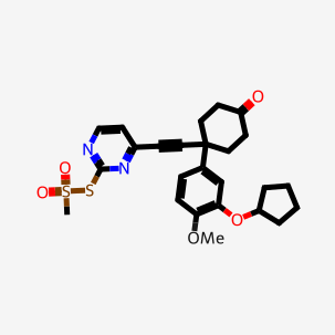 COc1ccc(C2(C#Cc3ccnc(SS(C)(=O)=O)n3)CCC(=O)CC2)cc1OC1CCCC1